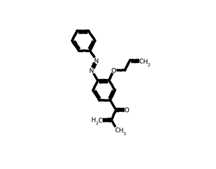 C=CCOc1cc(C(=O)C(=C)C)ccc1N=Nc1ccccc1